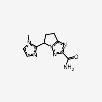 Cn1ccnc1C1CCc2nc(C(N)=O)nn21